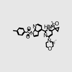 Cc1ccc(S(=O)(=O)n2ccc3c(-c4nc(N5CCOC[C@H]5C)cc(C5([S@](C)(=N)=O)CC5)n4)ccnc32)cc1